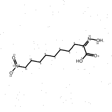 O=C(O)/C(CCCCCCCC[N+](=O)[O-])=N\O